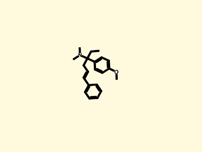 CCC(CC=Cc1ccccc1)(c1ccc(OC)cc1)N(C)C